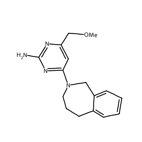 COCc1cc(N2CCCc3ccccc3C2)nc(N)n1